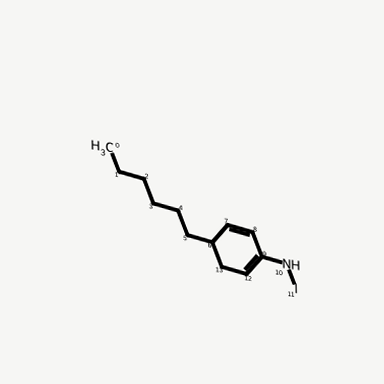 CCCCCCC1C=CC(NI)=CC1